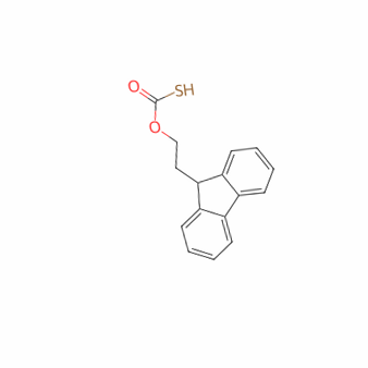 O=C(S)OCCC1c2ccccc2-c2ccccc21